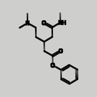 CNC(=O)CC(CCN(C)C)CC(=O)Oc1ccccc1